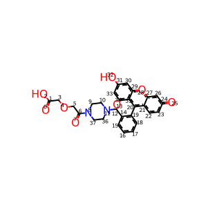 O=C(O)COCC(=O)N1CCN(C(=O)c2ccccc2-c2c3ccc(=O)cc-3oc3cc(O)ccc23)CC1